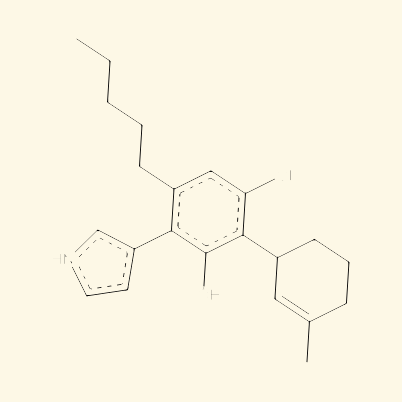 CCCCCc1cc(O)c(C2C=C(C)CCC2)c(O)c1-c1cc[nH]c1